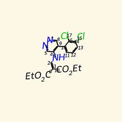 CCOC(=O)C(=CNc1cnncc1-c1cccc(Cl)c1Cl)C(=O)OCC